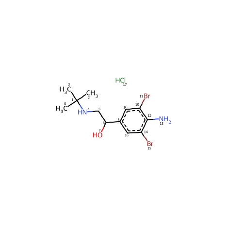 CC(C)(C)NCC(O)c1cc(Br)c(N)c(Br)c1.Cl